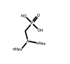 CCCCCCN(CCCCCC)CP(=O)(O)O